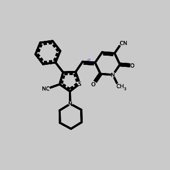 CN1C(=O)C(C#N)=C/C(=C/c2sc(N3CCCCC3)c(C#N)c2-c2ccccc2)C1=O